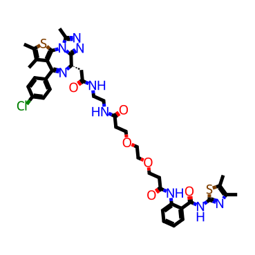 Cc1nc(NC(=O)c2ccccc2NC(=O)CCOCCOCCC(=O)NCCNC(=O)C[C@@H]2N=C(c3ccc(Cl)cc3)c3c(sc(C)c3C)-n3c(C)nnc32)sc1C